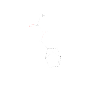 CC(=O)OCC1CC2=CCC1C2